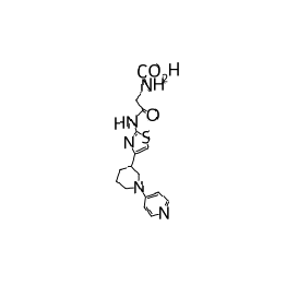 O=C(O)NCC(=O)Nc1nc(C2CCCN(c3ccncc3)C2)cs1